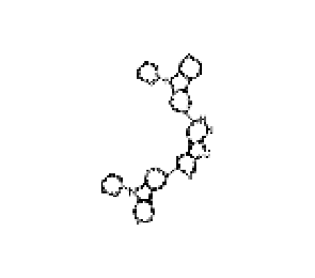 c1ccc(-n2c3ccccc3c3cc(-c4cc5c(cn4)oc4nnc(-c6ccc7c(c6)c6ccccc6n7-c6ccccc6)cc45)ccc32)cc1